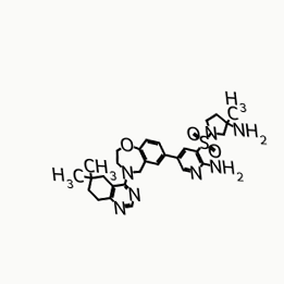 CC1(C)CCc2ncnc(N3CCOc4ccc(-c5cnc(N)c(S(=O)(=O)N6CCC(C)(N)C6)c5)cc4C3)c2C1